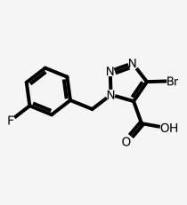 O=C(O)c1c(Br)nnn1Cc1cccc(F)c1